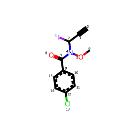 C#CC(I)N(OC)C(=O)c1ccc(Cl)cc1